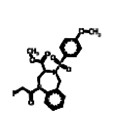 COC(=O)C1CN(C(=O)CI)c2ccccc2CN1S(=O)(=O)c1ccc(OC)cc1